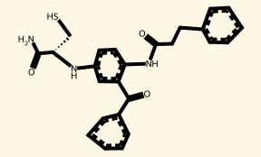 NC(=O)[C@H](CS)Nc1ccc(NC(=O)CCc2ccccc2)c(C(=O)c2ccccc2)c1